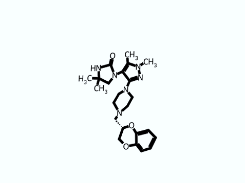 Cc1c(N2CC(C)(C)NC2=O)c(N2CCN(C[C@H]3COc4ccccc4O3)CC2)nn1C